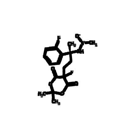 C[S+]([O-])N[C@@](C)(CCC1(F)C(=O)OC(C)(C)OC1=O)c1ccccc1F